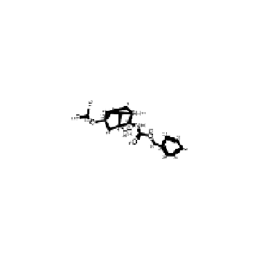 O=C(N[C@H]1[C@@H]2CC3C[C@H]1C[C@@](OC(F)F)(C3)C2)OCc1ccccc1